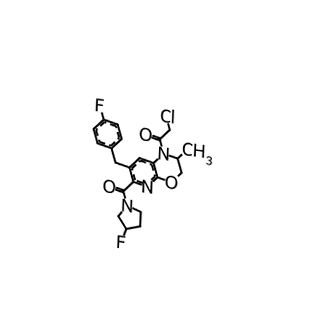 CC1COc2nc(C(=O)N3CCC(F)C3)c(Cc3ccc(F)cc3)cc2N1C(=O)CCl